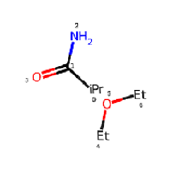 CC(C)C(N)=O.CCOCC